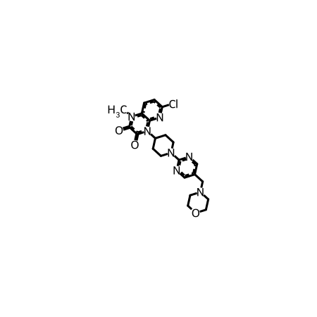 Cn1c(=O)c(=O)n(C2CCN(c3ncc(CN4CCOCC4)cn3)CC2)c2nc(Cl)ccc21